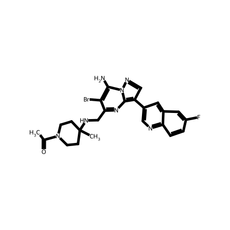 CC(=O)N1CCC(C)(NCc2nc3c(-c4cnc5ccc(F)cc5c4)cnn3c(N)c2Br)CC1